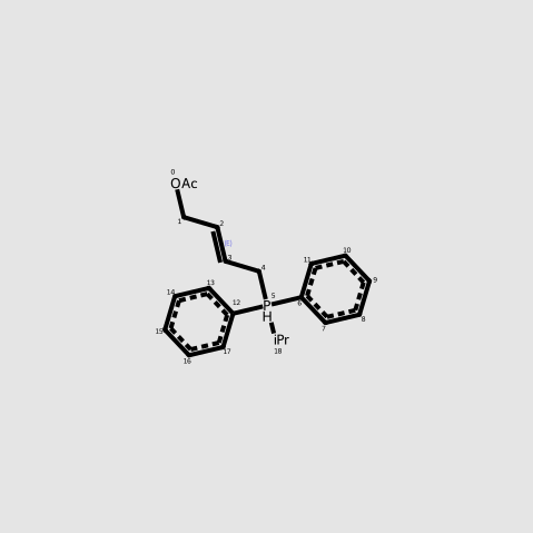 CC(=O)OC/C=C/C[PH](c1ccccc1)(c1ccccc1)C(C)C